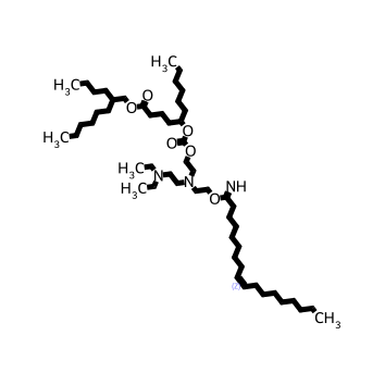 CCCCCCCC/C=C\CCCCCCCC(=N)OCCN(CCOC(=O)OC(CCCCCC)CCCC(=O)OCC(CCCC)CCCCCC)CCN(CC)CC